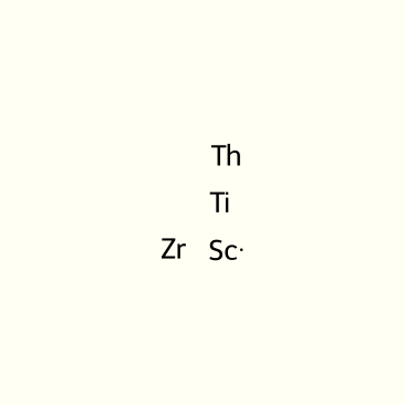 [Sc].[Th].[Ti].[Zr]